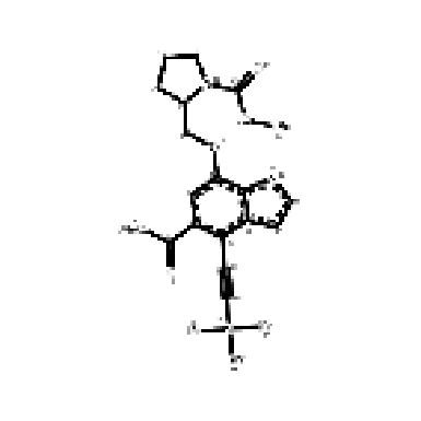 COC(=O)c1cc(OCC2CCCN2C(=O)OC(C)(C)C)c2[nH]ccc2c1C#C[Si](C(C)C)(C(C)C)C(C)C